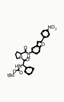 CC(C)(C)OC(=O)N[C@@H](C(=O)N1CCCC1C(=O)Nc1ccc2oc(-c3ccc([N+](=O)[O-])cc3)cc2c1)c1ccccc1